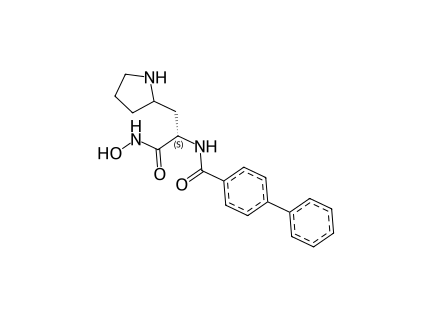 O=C(N[C@@H](CC1CCCN1)C(=O)NO)c1ccc(-c2ccccc2)cc1